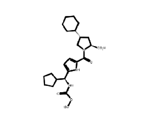 CC(C)(C)OC(=O)N[C@H](c1ccc(C(=O)N2C[C@H](C3CCCCC3)C[C@H]2C(=O)O)[nH]1)C1CCCC1